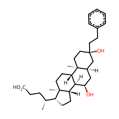 C[C@H](CCC(=O)O)[C@H]1CC[C@H]2[C@@H]3[C@H](O)C[C@@H]4C[C@@](O)(CCc5ccccc5)CC[C@]4(C)[C@H]3CC[C@]12C